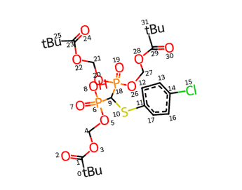 CC(C)(C)C(=O)OCOP(=O)(O)C(Sc1ccc(Cl)cc1)P(=O)(OCOC(=O)C(C)(C)C)OCOC(=O)C(C)(C)C